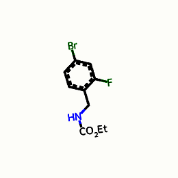 CCOC(=O)NCc1ccc(Br)cc1F